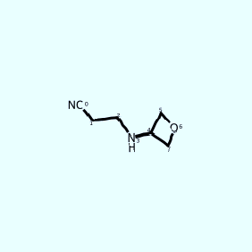 N#CCCNC1COC1